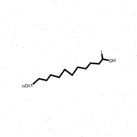 CCCCCCCCCCCCCCCCCCC(O)I